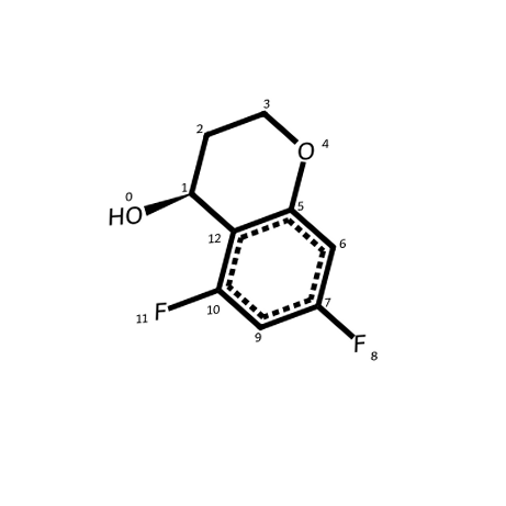 O[C@H]1CCOc2cc(F)cc(F)c21